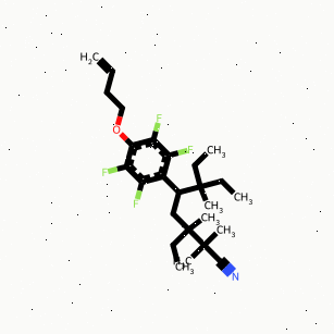 C=CCCOc1c(F)c(F)c(C(CC(C)(CC)C(C)(C)C#N)C(C)(CC)CC)c(F)c1F